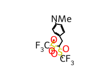 CNc1ccc(CC(S(=O)(=O)C(F)(F)F)S(=O)(=O)C(F)(F)F)cc1